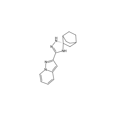 c1ccn2nc(C3=NN[C@]4(CC5CCC4CC5)N3)cc2c1